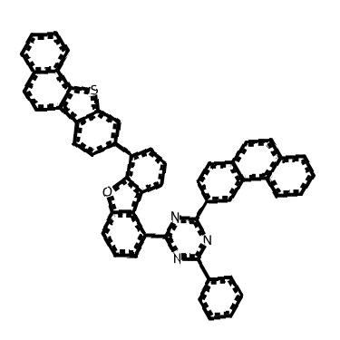 c1ccc(-c2nc(-c3ccc4ccc5ccccc5c4c3)nc(-c3cccc4oc5c(-c6ccc7c(c6)sc6c8ccccc8ccc76)cccc5c34)n2)cc1